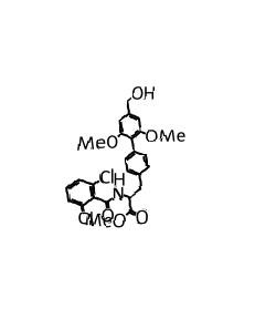 COC(=O)[C@H](Cc1ccc(-c2c(OC)cc(CO)cc2OC)cc1)NC(=O)c1c(Cl)cccc1Cl